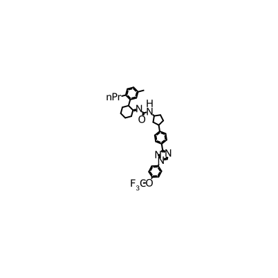 CCCc1ccc(C)cc1C1CCCC/C1=N\C(=O)NC1CCC(c2ccc(-c3ncn(-c4ccc(OC(F)(F)F)cc4)n3)cc2)C1